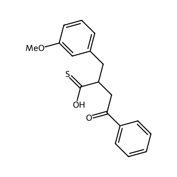 COc1cccc(CC(CC(=O)c2ccccc2)C(O)=S)c1